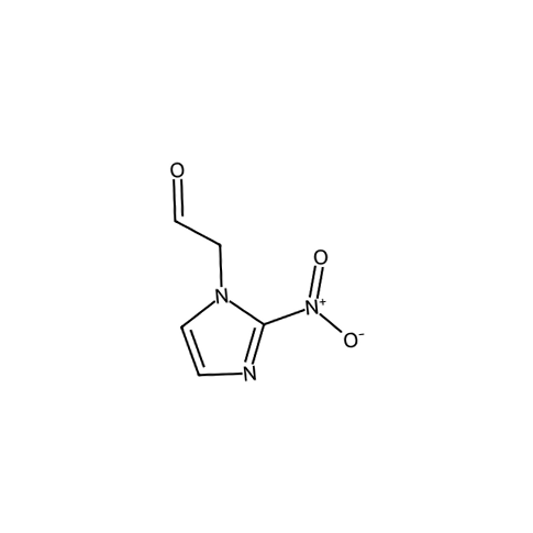 O=CCn1ccnc1[N+](=O)[O-]